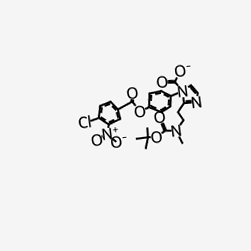 CN(CCC1=NC=C[N+]1(C(=O)[O-])c1ccc(OC(=O)c2ccc(Cl)c([N+](=O)[O-])c2)cc1)C(=O)OC(C)(C)C